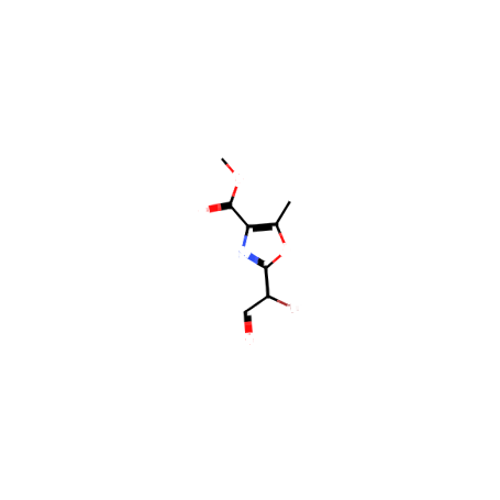 COC(=O)c1nc(C(Br)C=O)oc1C